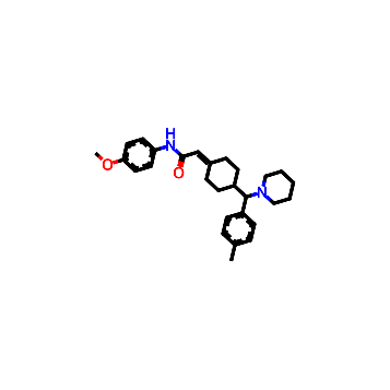 COc1ccc(NC(=O)C=C2CCC(C(c3ccc(C)cc3)N3CCCCC3)CC2)cc1